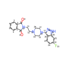 O=C1c2ccccc2C(=O)N1CCN1CCN(c2n[nH]c3cc(F)ccc23)CC1